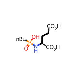 CCCCP(=O)(O)N[C@@H](CCC(=O)O)C(=O)O